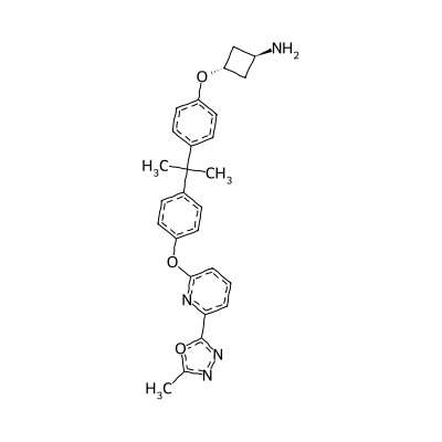 Cc1nnc(-c2cccc(Oc3ccc(C(C)(C)c4ccc(O[C@H]5C[C@H](N)C5)cc4)cc3)n2)o1